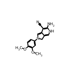 COc1ccc(N2C=C3C(=CNC(N)=C3C#N)C2)cc1OC